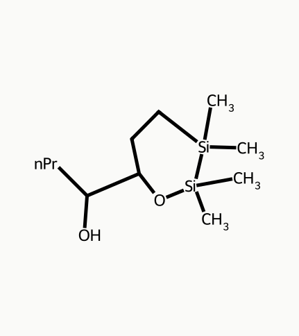 CCCC(O)C1CC[Si](C)(C)[Si](C)(C)O1